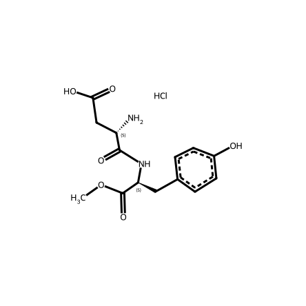 COC(=O)[C@H](Cc1ccc(O)cc1)NC(=O)[C@@H](N)CC(=O)O.Cl